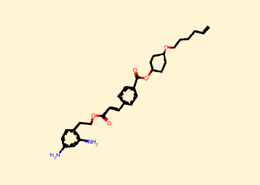 C=CCCCCOC1CCC(OC(=O)c2ccc(/C=C/C(=O)OCCc3ccc(N)cc3N)cc2)CC1